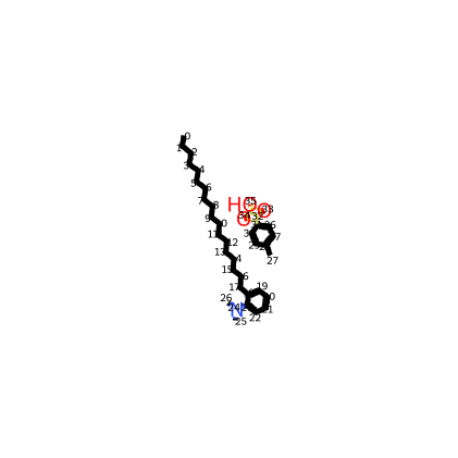 CCCCCCCCCCCCCCCCCCc1ccccc1N(C)C.Cc1ccc(S(=O)(=O)O)cc1